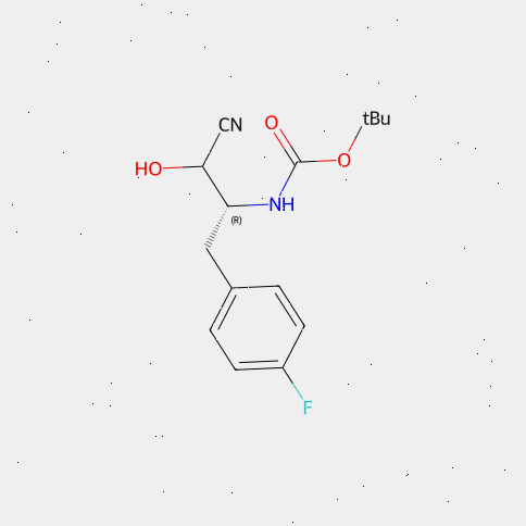 CC(C)(C)OC(=O)N[C@H](Cc1ccc(F)cc1)C(O)C#N